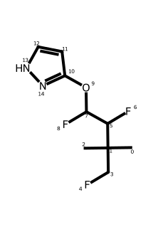 CC(C)(CF)C(F)C(F)Oc1cc[nH]n1